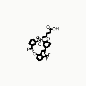 O=C(O)CCC1CN(S(=O)(=O)c2cccc(C(F)F)c2)c2cc(C=Cc3c(Cl)cccc3C(F)(F)F)ccc2O1